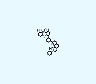 CC1(C)c2ccccc2Sc2c(-c3cccc(-c4ccc5ccc6c(c5n4)NC(c4ccccc4)C=C6)c3)cccc21